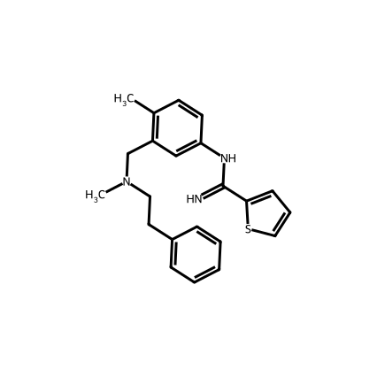 Cc1ccc(NC(=N)c2cccs2)cc1CN(C)CCc1ccccc1